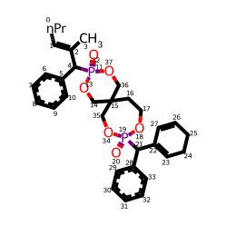 CCC/C=C(\C)C(c1ccccc1)P1(=O)OCC2(CCOP(=O)(C(C3=CCCC=C3)c3ccccc3)OC2)CO1